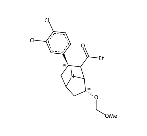 CCC(=O)C1C2[C@H](OCOC)CC(C[C@H]1c1ccc(Cl)c(Cl)c1)N2C